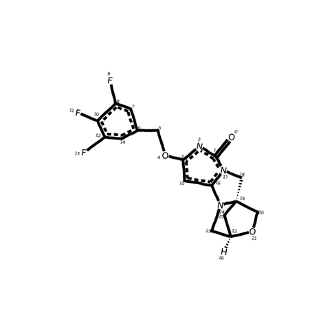 O=c1nc(OCc2cc(F)c(F)c(F)c2)cc2n1C[C@@]13CO[C@@H](CN21)C3